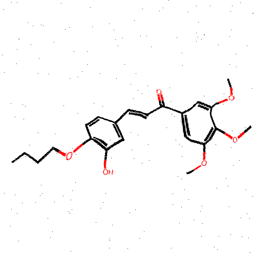 CCCCOc1ccc(C=CC(=O)c2cc(OC)c(OC)c(OC)c2)cc1O